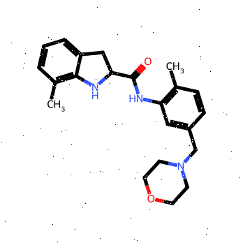 Cc1ccc(CN2CCOCC2)cc1NC(=O)C1Cc2cccc(C)c2N1